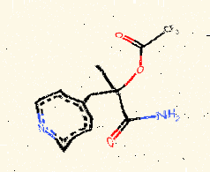 CC(OC(=O)C(F)(F)F)(C(N)=O)c1ccncc1